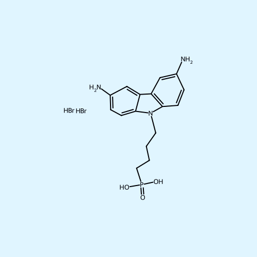 Br.Br.Nc1ccc2c(c1)c1cc(N)ccc1n2CCCCP(=O)(O)O